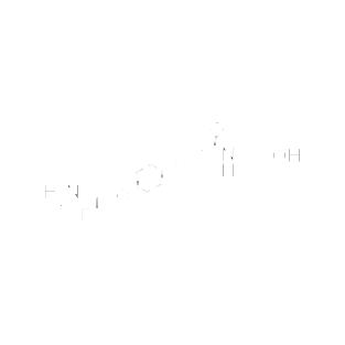 NCC(=CF)COc1ccc(C23CCC(C(=O)NCCCO)(CC2)CC3)cc1